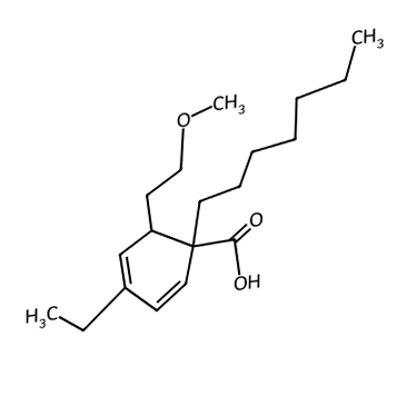 CCCCCCCC1(C(=O)O)C=CC(CC)=CC1CCOC